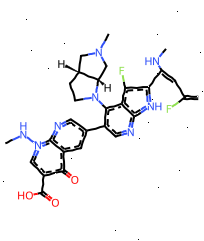 C=C(F)/C=C(/NC)c1[nH]c2ncc(-c3cnc4c(c3)c(=O)c(C(=O)O)cn4NC)c(N3CC[C@@H]4CN(C)C[C@@H]43)c2c1F